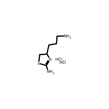 Cl.Cl.NCCCC1CSC(N)=N1